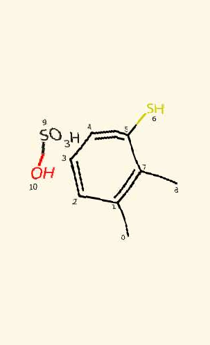 Cc1cccc(S)c1C.O=S(=O)(O)O